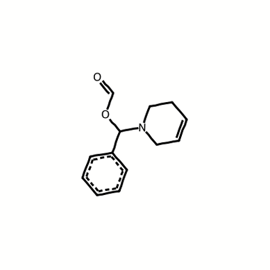 O=COC(c1ccccc1)N1CC=CCC1